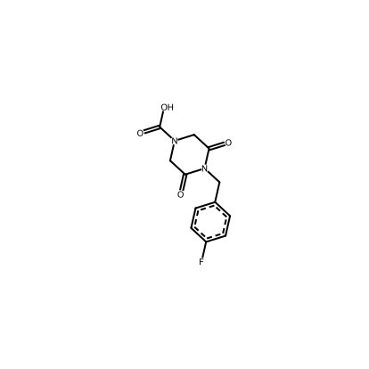 O=C(O)N1CC(=O)N(Cc2ccc(F)cc2)C(=O)C1